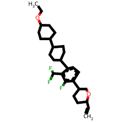 C=CC1CCC(c2ccc(C3CCC(C4CCC(OCC)CC4)CC3)c(C(F)F)c2F)CO1